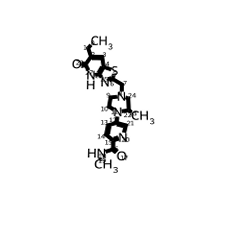 CCc1cc2sc(CN3CCN(c4ccc(C(=O)NC)nc4)C(C)C3)nc2[nH]c1=O